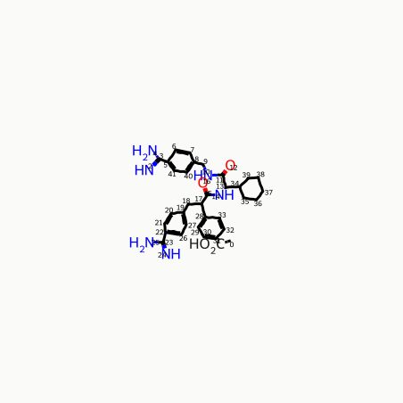 CC(=O)O.N=C(N)c1ccc(CNC(=O)[C@@H](NC(=O)C(Cc2ccc(C(=N)N)cc2)c2ccccc2)C2CCCCC2)cc1